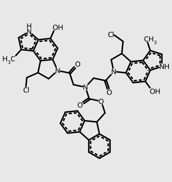 Cc1c[nH]c2c(O)cc3c(c12)C(CCl)CN3C(=O)CN(CC(=O)N1CC(CCl)c2c1cc(O)c1[nH]cc(C)c21)C(=O)OCC1c2ccccc2-c2ccccc21